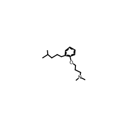 CC(C)CCCc1ccccc1OCCCN(C)C